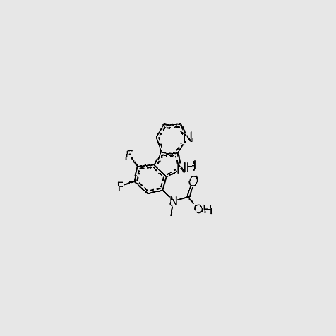 CN(C(=O)O)c1cc(F)c(F)c2c1[nH]c1ncccc12